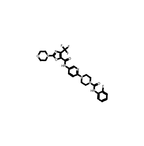 O=C(Nc1ccc(N2CCN(C(=O)Nc3ccccc3F)CC2)nc1)c1oc(N2CCOCC2)nc1C(F)(F)F